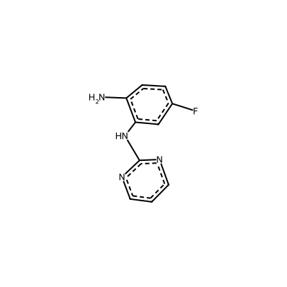 Nc1ccc(F)cc1Nc1ncccn1